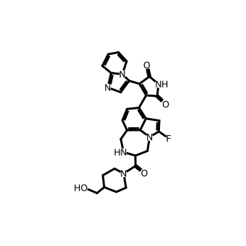 O=C1NC(=O)C(c2cnc3ccccn23)=C1c1ccc2c3c1cc(F)n3CC(C(=O)N1CCC(CO)CC1)NC2